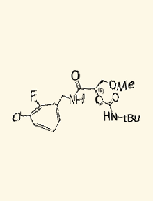 COC[C@@H](OC(=O)NC(C)(C)C)C(=O)NCc1cccc(Cl)c1F